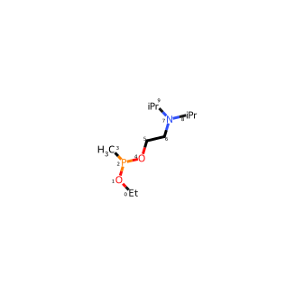 CCOP(C)OCCN(C(C)C)C(C)C